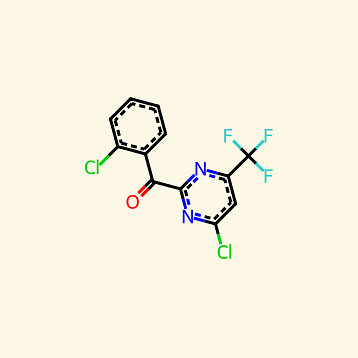 O=C(c1nc(Cl)cc(C(F)(F)F)n1)c1ccccc1Cl